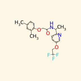 Cc1ccc(OCC(=O)NC(C)c2ccc(OCC(F)(F)F)cn2)c(C)c1